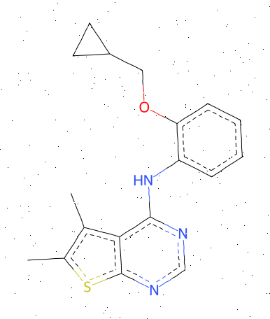 Cc1sc2ncnc(Nc3ccccc3OCC3CC3)c2c1C